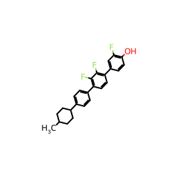 CC1CCC(c2ccc(-c3ccc(-c4ccc(O)c(F)c4)c(F)c3F)cc2)CC1